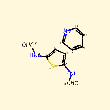 O=CNc1ccc(NC=O)s1.c1ccncc1